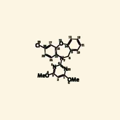 COc1cc(OC)nc(N2Cc3ccccc3Oc3cc(Cl)ccc32)n1